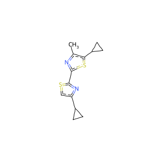 Cc1nc(-c2nc(C3CC3)cs2)sc1C1CC1